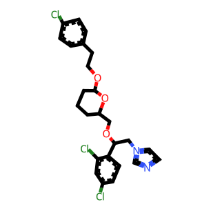 Clc1ccc(CCOC2CCCC(COC(Cn3ccnc3)c3ccc(Cl)cc3Cl)O2)cc1